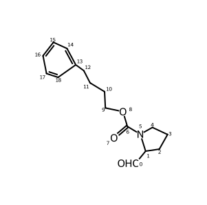 O=CC1CCCN1C(=O)OCCCCc1ccccc1